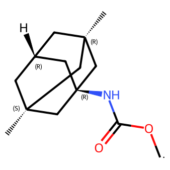 [CH2]OC(=O)N[C@@]12C[C@@H]3C[C@@](C)(C[C@@](C)(C3)C1)C2